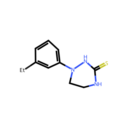 CCc1cccc(N2CCNC(=S)N2)c1